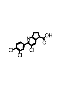 O=C(O)C1CCc2nc(-c3ccc(Cl)c(Cl)c3)c(Cl)cc21